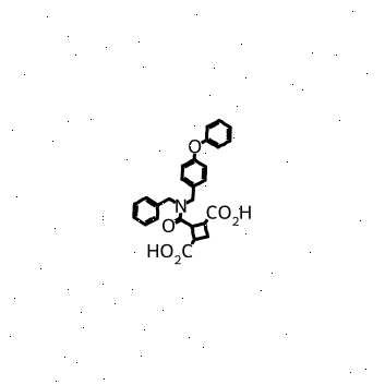 O=C(O)C1CC(C(=O)O)C1C(=O)N(Cc1ccccc1)Cc1ccc(Oc2ccccc2)cc1